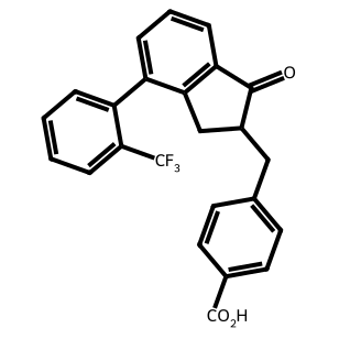 O=C(O)c1ccc(CC2Cc3c(cccc3-c3ccccc3C(F)(F)F)C2=O)cc1